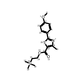 COc1ccc(-c2nc(C)c(C(=O)OCC[Si](C)(C)C)s2)cc1